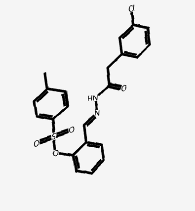 Cc1ccc(S(=O)(=O)Oc2ccccc2/C=N/NC(=O)Cc2cccc(Cl)c2)cc1